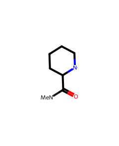 CNC(=O)C1CCCC[N]1